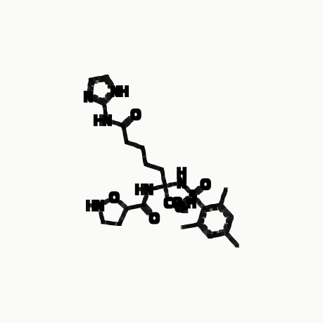 Cc1cc(C)c(S(=O)(=O)NC(CCCCC(=O)Nc2ncc[nH]2)(NC(=O)C2CCNO2)C(=O)O)c(C)c1